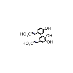 O=C(O)/C=C/c1ccc(O)c(O)c1.O=C(O)/C=C/c1ccc(O)cc1